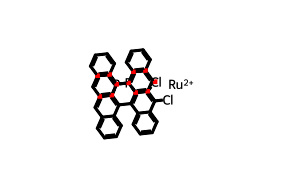 Clc1c(P(c2ccccc2)c2ccccc2)c(-c2c(P(c3ccccc3)c3ccccc3)ccc3ccccc23)c2ccccc2c1Cl.[Ru+2]